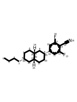 CCCC[C@@H]1CC[C@@H]2C[C@H](c3cc(F)c(C#N)c(F)c3)CC[C@@H]2C1